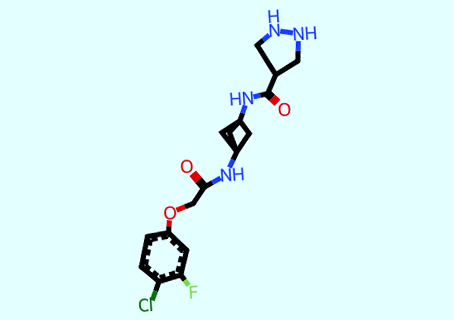 O=C(COc1ccc(Cl)c(F)c1)NC12CC(NC(=O)C3CNNC3)(C1)C2